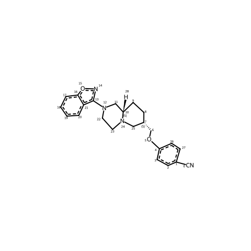 N#Cc1ccc(OC[C@H]2CC[C@H]3CN(c4noc5ccccc45)CCN3C2)cc1